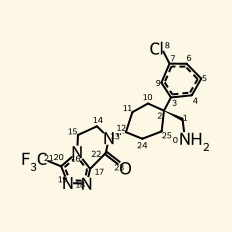 NC[C@]1(c2cccc(Cl)c2)CC[C@@H](N2CCn3c(nnc3C(F)(F)F)C2=O)CC1